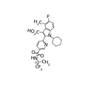 Cc1c(F)ccc2c1c(C(=O)O)c(-c1ccc(S(=O)(=O)N[C@@H](C)C(F)(F)F)cn1)n2C1CCCCC1